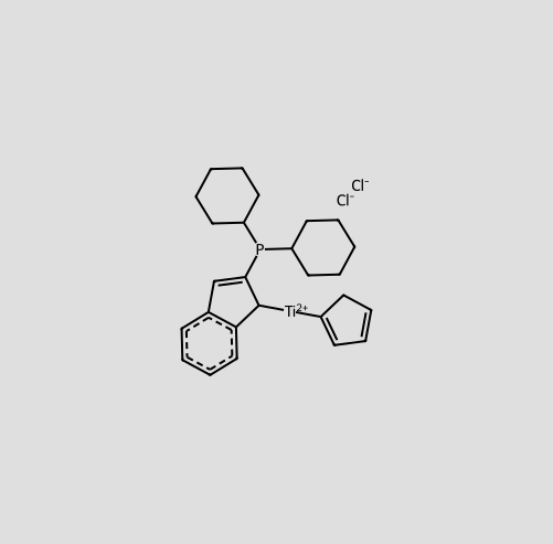 C1=CC[C]([Ti+2][CH]2C(P(C3CCCCC3)C3CCCCC3)=Cc3ccccc32)=C1.[Cl-].[Cl-]